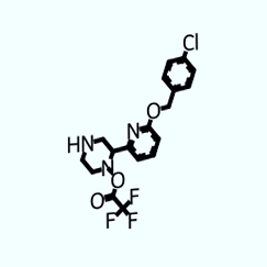 O=C(ON1CCNCC1c1cccc(OCc2ccc(Cl)cc2)n1)C(F)(F)F